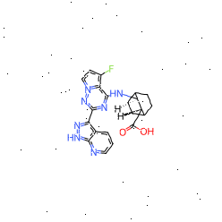 O=C(O)[C@H]1C2CCC(CC2)[C@@H]1Nc1nc(-c2n[nH]c3ncccc23)nn2ccc(F)c12